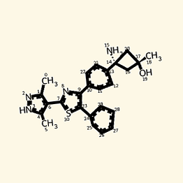 Cc1n[nH]c(C)c1-c1nc(-c2ccc([C@]3(N)C[C@@](C)(O)C3)cc2)c(-c2ccccc2)s1